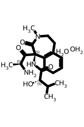 CC(C)[C@H](O)C(=O)N[C@@]1(C(=O)[C@H](C)N)C(=O)N(C)CCC2=C1CCC=C2.O.O